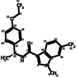 C[C@@H](NC(=O)c1cn(C)c2cc(C(F)(F)F)ccc12)c1ccc(OCC(F)(F)F)cn1